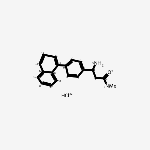 CNC(=O)CC(N)c1ccc(-c2cccc3ccccc23)cc1.Cl